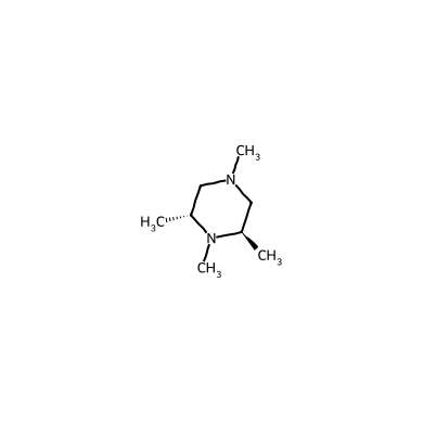 C[C@@H]1CN(C)C[C@@H](C)N1C